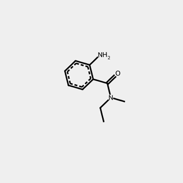 CCN(C)C(=O)c1ccccc1N